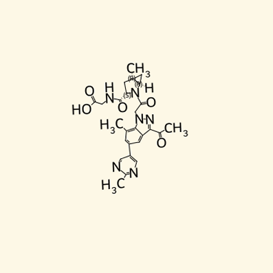 CC(=O)c1nn(CC(=O)N2[C@H](C(=O)NCC(=O)O)C[C@@]3(C)C[C@@H]23)c2c(C)cc(-c3cnc(C)nc3)cc12